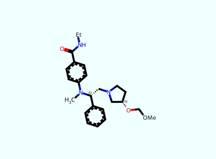 CCNC(=O)c1ccc(N(C)[C@H](CN2CC[C@H](OCOC)C2)c2ccccc2)cc1